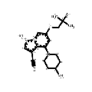 CC(C)(O)COc1cc(N2CCC(N)CC2)c2c(C#N)cnn2c1.Cl